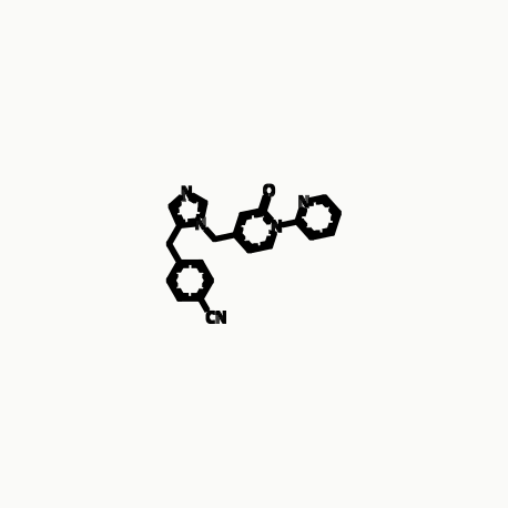 N#Cc1ccc(Cc2cncn2Cc2ccn(-c3ccccn3)c(=O)c2)cc1